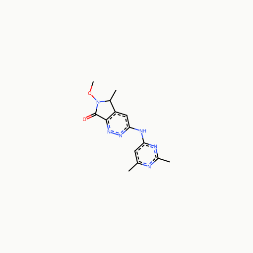 CON1C(=O)c2nnc(Nc3cc(C)nc(C)n3)cc2C1C